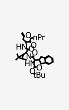 C=CCC(NC(=O)C1C2C(CN1C(=O)C(NC(=O)OC(C)(C)C)C1Cc3ccccc3C1)C2(C)C)C(=O)C(=O)CCC